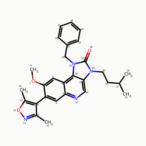 COc1cc2c(cc1-c1c(C)noc1C)ncc1c2n(Cc2ccccc2)c(=O)n1CCC(C)C